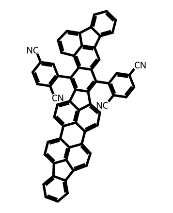 N#Cc1ccc(C#N)c(-c2c3cc4c5ccccc5c5cccc(c3c(-c3cc(C#N)ccc3C#N)c3c6ccc7c8ccc9c%10c(ccc(c%11ccc(c23)c6c%117)c%108)-c2ccccc2-9)c54)c1